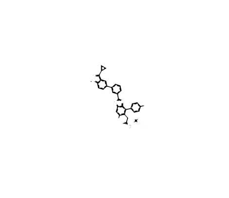 Cc1cc2nc(-c3cccc(-c4ccc5c(c4)c(C4CC4)nn5C)c3)sc2c(-c2ccc(Cl)cc2)c1[C@H](OC(C)(C)C)C(=O)O